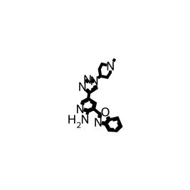 CN1CCC(n2cc(-c3cnc(N)c(-c4nc5ccccc5o4)c3)nn2)CC1